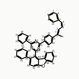 C/C(=C\C=C/c1ccccc1)c1ccc(-c2nc(-c3ccccc3)nc(-c3c(-c4ccccc4)ccc4oc5ccccc5c34)n2)cc1